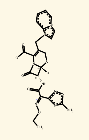 CCO/N=C(/C(=O)N[C@@H]1C(=O)N2C(C(=O)[O-])=C(Cn3cc[n+]4ccccc34)CS[C@H]12)c1nsc(N)n1